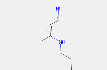 CCCN/C(C)=C\C=N